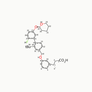 C[C@@H](CC(=O)O)c1cccc(OCc2ccc(-c3cc(OC4CCCCO4)ccc3F)c(C(C)(C)C)c2)c1